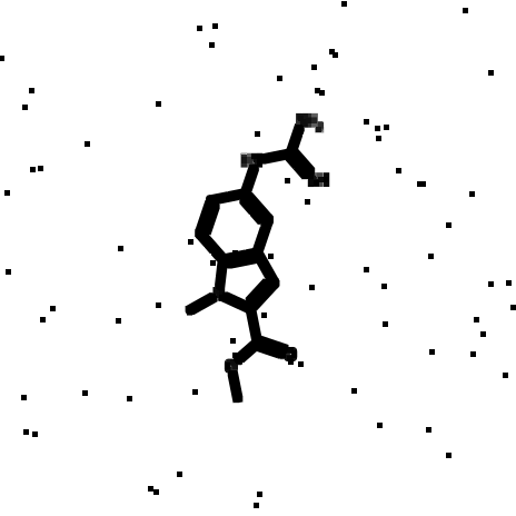 COC(=O)c1cc2cc(NC(=N)N)ccc2n1C